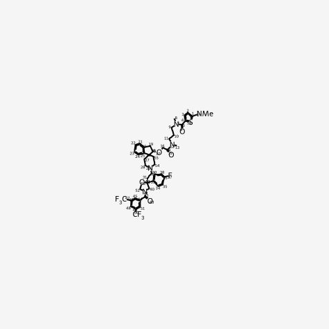 CNc1ccc(C(=O)N(C)CCCN(C)C(=O)CO[C@H]2Cc3ccccc3C23CCN(CC[C@@]2(c4ccc(F)cc4)CN(C(=O)c4cc(C(F)(F)F)cc(C(F)(F)F)c4)CO2)CC3)s1